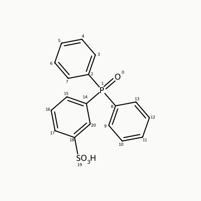 O=P(c1ccccc1)(c1ccccc1)c1cccc(S(=O)(=O)O)c1